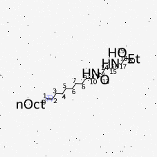 CCCCCCCC/C=C/CCCCCCCCNC(=O)CCNCC(O)CC